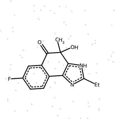 CCc1nc2c([nH]1)C(C)(O)C(=O)c1cc(F)ccc1-2